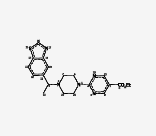 CCOC(=O)c1cnc(N2CCN(C(C)c3ccc4scnc4c3)CC2)nc1